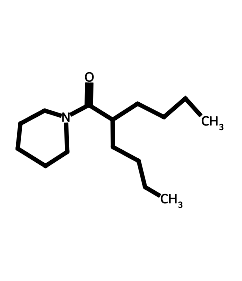 CCCCC(CCCC)C(=O)N1CCCCC1